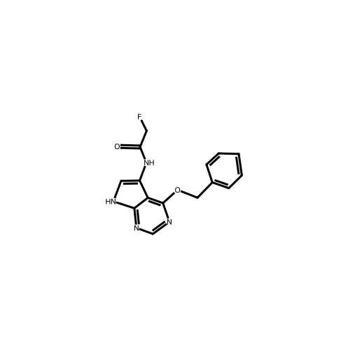 O=C(CF)Nc1c[nH]c2ncnc(OCc3ccccc3)c12